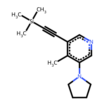 Cc1c(C#C[Si](C)(C)C)cncc1N1CCCC1